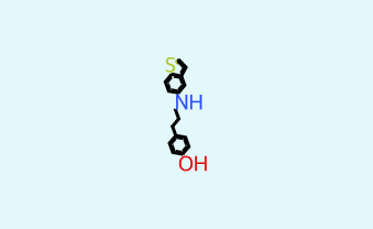 Oc1ccc(CCCNc2ccc3sccc3c2)cc1